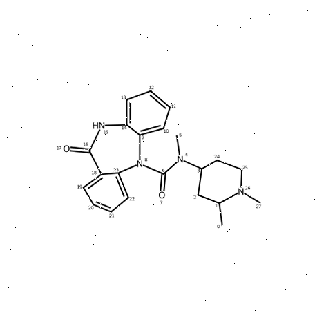 CC1CC(N(C)C(=O)N2c3ccccc3NC(=O)c3ccccc32)CCN1C